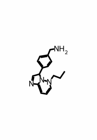 CCCN1C=CC=C2N=CC(c3ccc(CN)cc3)N21